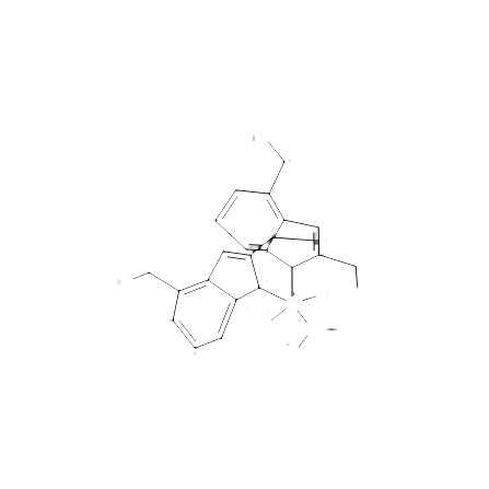 CC(C)CC1=Cc2c(CC(C)C)cccc2[CH]1[Zr]([Cl])([Cl])([CH]1C(CC(C)C)=Cc2c(CC(C)C)cccc21)[SiH](C)C